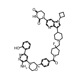 Nc1nnc(-c2ccccc2O)cc1N1CCO[C@H](c2ccc(C(=O)N3CCC(F)(CN4CCC(c5cn(C6CCC6)c6cc(N7CCC(=O)NC7=O)cnc56)CC4)CC3)cc2)C1